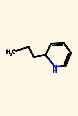 CCC[C]1C=CC=CN1